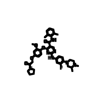 COc1cc(OCC(=O)N2CCCC2)ccc1Oc1nc(Nc2ccc(N3CCN(C)C(C)C3)c(F)c2)ncc1C(=O)Nc1c(C)cccc1C